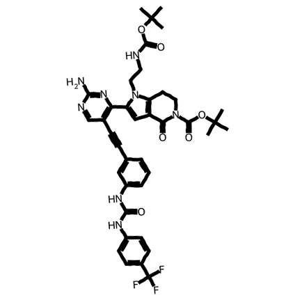 CC(C)(C)OC(=O)NCCn1c(-c2nc(N)ncc2C#Cc2cccc(NC(=O)Nc3ccc(C(F)(F)F)cc3)c2)cc2c1CCN(C(=O)OC(C)(C)C)C2=O